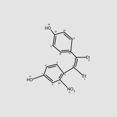 CCC(=C(CC)c1ccc(O)cc1[N+](=O)[O-])c1ccc(O)cc1